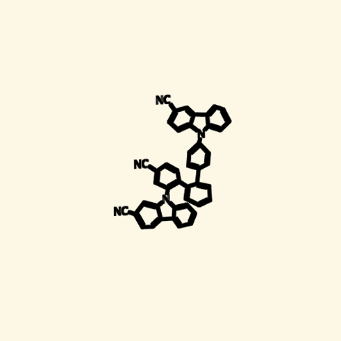 N#Cc1ccc(-c2ccccc2-c2ccc(-n3c4ccccc4c4cc(C#N)ccc43)cc2)c(-n2c3ccccc3c3ccc(C#N)cc32)c1